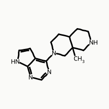 CC12CNCCC1CCN(c1ncnc3[nH]ccc13)C2